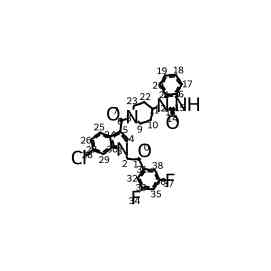 O=C(Cn1cc(C(=O)N2CCC(n3c(=O)[nH]c4ccccc43)CC2)c2ccc(Cl)cc21)c1cc(F)cc(F)c1